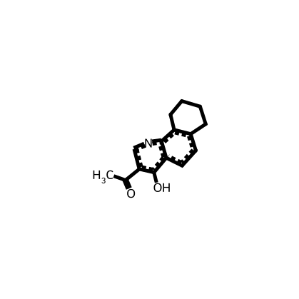 CC(=O)c1cnc2c3c(ccc2c1O)CCCC3